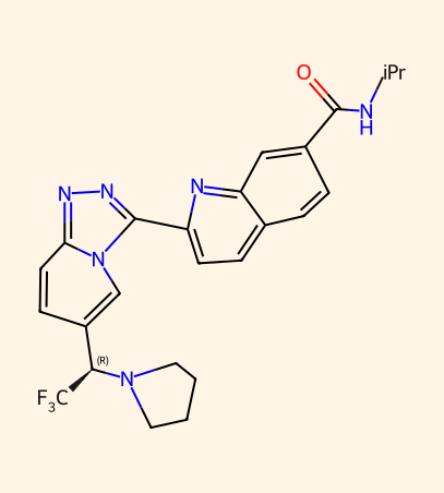 CC(C)NC(=O)c1ccc2ccc(-c3nnc4ccc([C@@H](N5CCCC5)C(F)(F)F)cn34)nc2c1